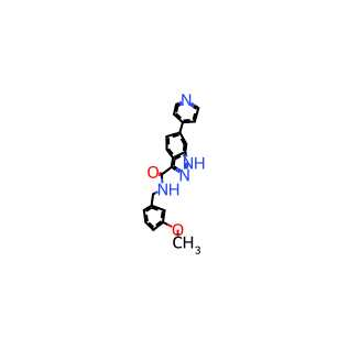 COc1cccc(CNC(=O)c2n[nH]c3cc(-c4ccncc4)ccc23)c1